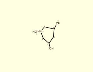 Cl.OC1CNCC(O)C1